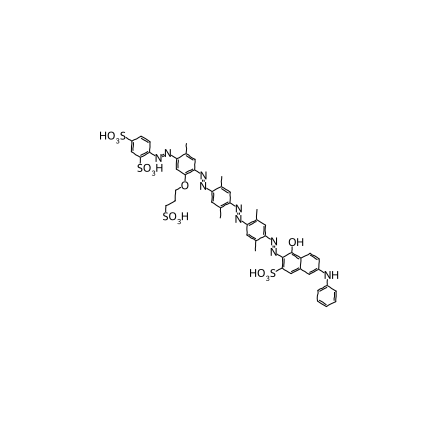 Cc1cc(N=Nc2cc(C)c(N=Nc3ccc(S(=O)(=O)O)cc3S(=O)(=O)O)cc2OCCCS(=O)(=O)O)c(C)cc1N=Nc1cc(C)c(N=Nc2c(S(=O)(=O)O)cc3cc(Nc4ccccc4)ccc3c2O)cc1C